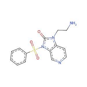 NCCn1c(=O)n(S(=O)(=O)c2ccccc2)c2cnccc21